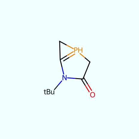 CC(C)(C)N1C(=O)C[PH]2=C1C2